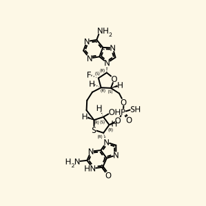 Nc1nc2c(ncn2[C@@H]2S[C@@H]3CCC[C@H]4[C@H](F)[C@H](n5cnc6c(N)ncnc65)O[C@@H]4COP(=O)(S)O[C@@H]2[C@@H]3O)c(=O)[nH]1